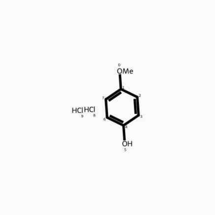 COc1ccc(O)cc1.Cl.Cl